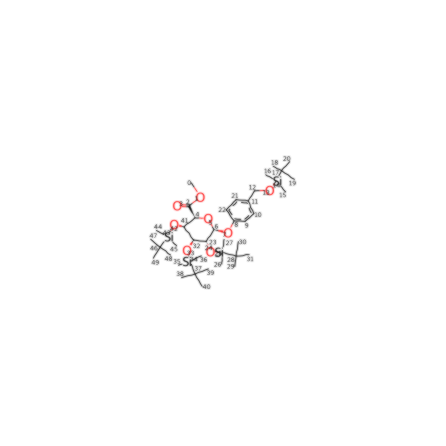 COC(=O)[C@H]1O[C@@H](Oc2ccc(CO[Si](C)(C)C(C)(C)C)cc2)[C@H](O[Si](C)(C)C(C)(C)C)[C@@H](O[Si](C)(C)C(C)(C)C)[C@H]1O[Si](C)(C)C(C)(C)C